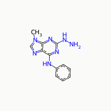 Cn1cnc2c(Nc3ccccc3)nc(NN)nc21